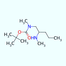 CCCC(CN(C)C(=O)OC(C)(C)C)NC